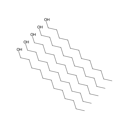 CCCCCCCCCCCCO.CCCCCCCCCCCCO.CCCCCCCCCCCCO.CCCCCCCCCCCCO.CCCCCCCCCCCCO